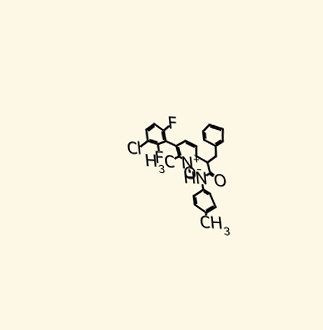 Cc1ccc(NC(=O)C(Cc2ccccc2)c2ccc(-c3c(F)ccc(Cl)c3F)c(C)[n+]2[O-])cc1